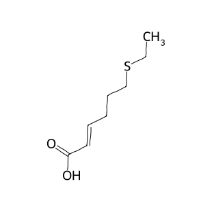 CCSCCCC=CC(=O)O